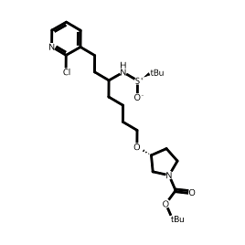 CC(C)(C)OC(=O)N1CC[C@@H](OCCCCC(CCc2cccnc2Cl)N[S@+]([O-])C(C)(C)C)C1